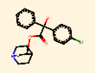 O=C(OC1CN2CCC1CC2)C(O)(c1ccccc1)c1ccc(Br)cc1